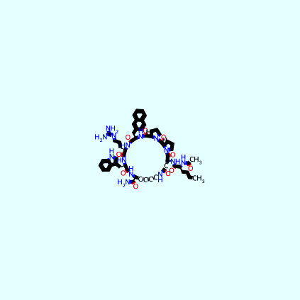 CCCC[C@H](NC(C)=O)C(=O)N[C@H]1CC(=O)NCCCC[C@@H](C(N)=O)NC(=O)[C@H](Cc2c[nH]c3ccccc23)NC(=O)[C@H](CCCN=C(N)N)NC(=O)[C@@H](Cc2ccc3ccccc3c2)NC(=O)[C@@H]2CCCN2C(=O)[C@@H]2CCCN2C1=O